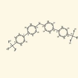 FC(F)(F)c1ccc(-c2ccc([C]c3ccc(-c4ccc(C(F)(F)F)cc4)cc3)cc2)cc1